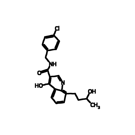 CC(O)CCc1cccc2c(O)c(C(=O)NCc3ccc(Cl)cc3)cnc12